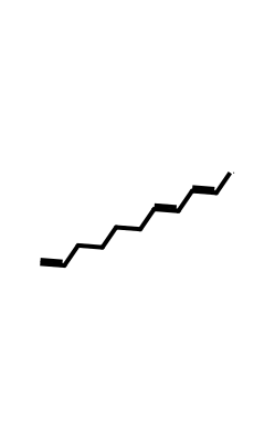 [CH2]/C=C/C=C/CCCCC=C